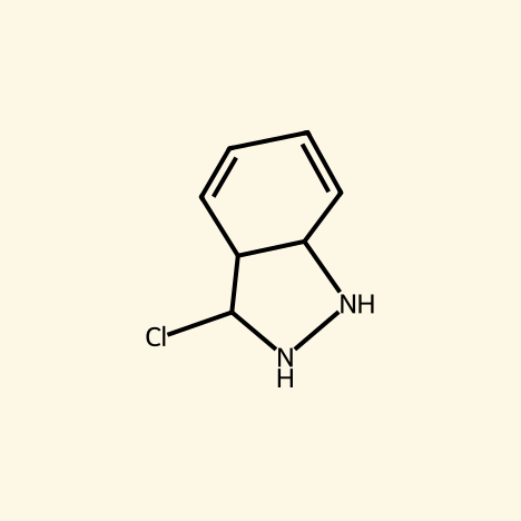 ClC1NNC2C=CC=CC12